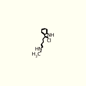 C=CNC=CCCc1c(Cl)[nH]c2ccccc12